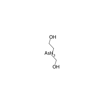 OCCCCO.[AsH3]